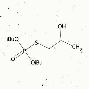 CC(C)COP(=O)(OCC(C)C)SCC(C)O